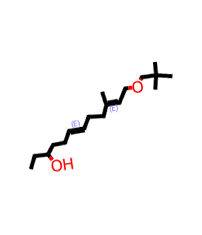 CCC(O)CC/C=C/CC/C(C)=C/COCC(C)(C)C